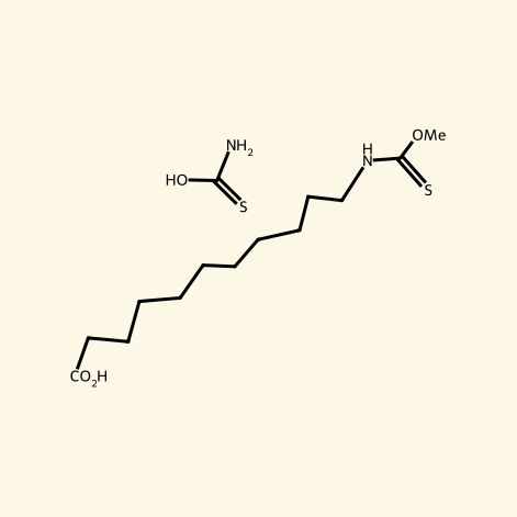 COC(=S)NCCCCCCCCCCC(=O)O.NC(O)=S